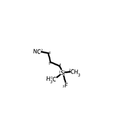 C[Si](C)(F)CCCC#N